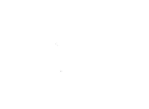 CC(c1ccc(N)cc1)N(C)C(=O)OC(C)(C)C